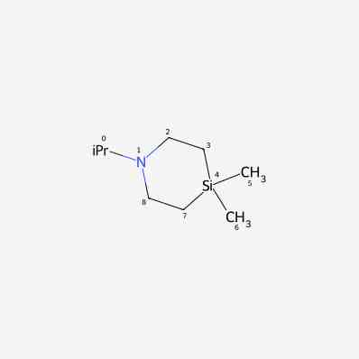 CC(C)N1CC[Si](C)(C)CC1